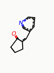 O=C1CCCC1=Cc1cccnc1